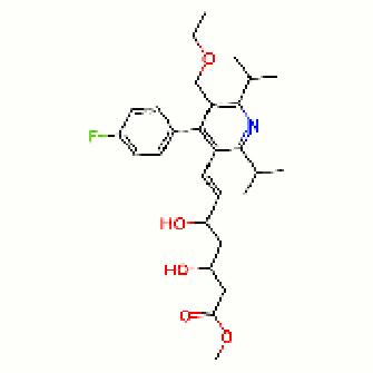 CCOCc1c(C(C)C)nc(C(C)C)c(C=CC(O)CC(O)CC(=O)OC)c1-c1ccc(F)cc1